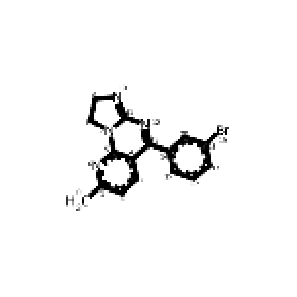 Cc1ccc2c(n1)N1CCN=C1N=C2c1cccc(Br)c1